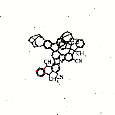 CC12c3ccccc3C(C)(c3ccccc31)c1c2c(C#N)cc2c1c1cc3c4cc5c(cc4c4cc6c(cc4c3c3c4c7c(c(C#N)cc4n2c13)C1(C)c2ccccc2C2(C)c3ccccc3C721)C1CC2CC(CC6C2)C1)C1CC2CC3CC5CC23C1